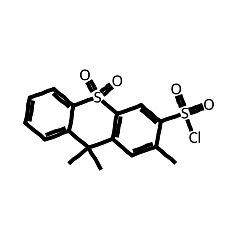 Cc1cc2c(cc1S(=O)(=O)Cl)S(=O)(=O)c1ccccc1C2(C)C